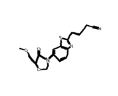 COCC1OCN(c2ccc3nc(CCCC#N)sc3c2)C1=O